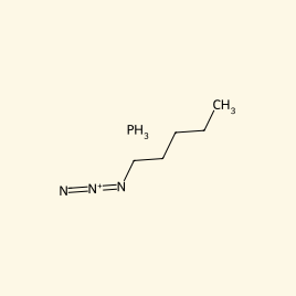 CCCCCN=[N+]=[N-].P